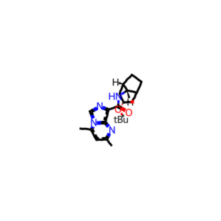 Cc1cc(C)n2cnc(C(=O)N[C@H]3C4CC[C@H]3C[C@@H](OC(C)(C)C)C4)c2n1